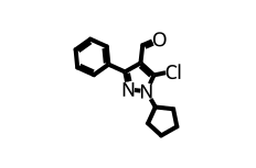 O=Cc1c(-c2ccccc2)nn(C2CCCC2)c1Cl